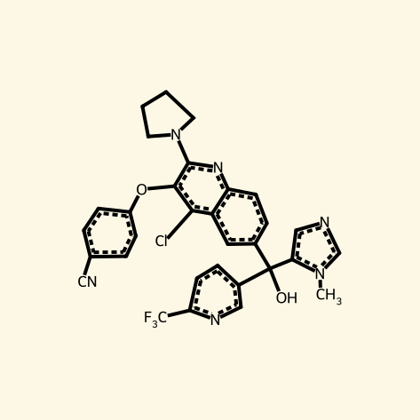 Cn1cncc1C(O)(c1ccc(C(F)(F)F)nc1)c1ccc2nc(N3CCCC3)c(Oc3ccc(C#N)cc3)c(Cl)c2c1